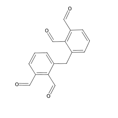 O=Cc1cccc(Cc2cccc(C=O)c2C=O)c1C=O